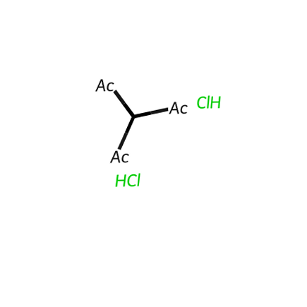 CC(=O)C(C(C)=O)C(C)=O.Cl.Cl